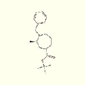 C[C@@H]1CN(C(=O)OC(C)(C)C)CCCN1Cc1ccccc1